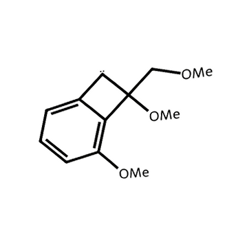 COCC1(OC)[C]c2cccc(OC)c21